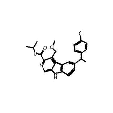 COCc1c(C(=O)OC(C)C)ncc2[nH]c3ccc(C(C)c4ccc(Cl)cc4)cc3c12